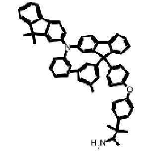 Cc1cc(C)cc(C2(c3ccc(Oc4ccc(C(C)(C)C(C)N)cc4)cc3)c3ccccc3-c3ccc(N(c4ccccc4)c4ccc5c(c4)C(C)(C)c4ccccc4-5)cc32)c1